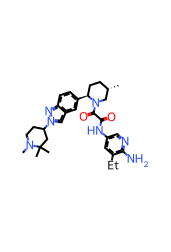 CCc1cc(NC(=O)C(=O)N2C[C@@H](C)CC[C@@H]2c2ccc3nn(C4CCN(C)C(C)(C)C4)cc3c2)cnc1N